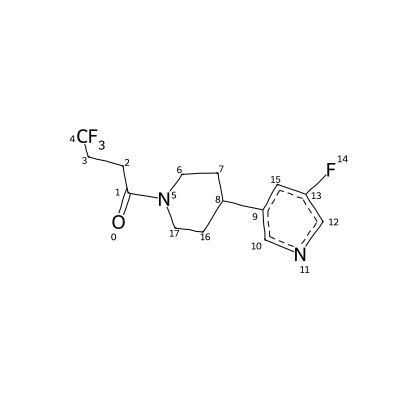 O=C(CCC(F)(F)F)N1CCC(c2cncc(F)c2)CC1